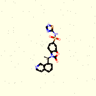 C[C@H](c1cccc2ccncc12)n1c(=O)oc2cc(S(=O)(=O)Nc3ncns3)ccc21